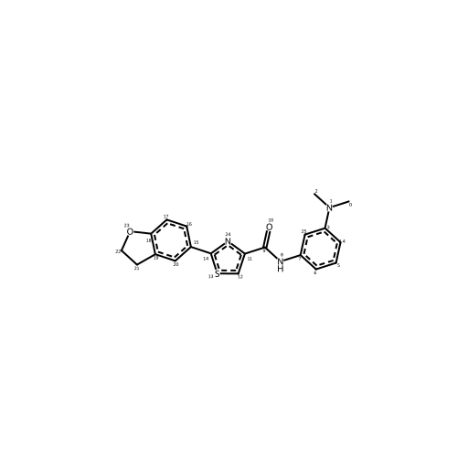 CN(C)c1[c]ccc(NC(=O)c2csc(-c3ccc4c(c3)CCO4)n2)c1